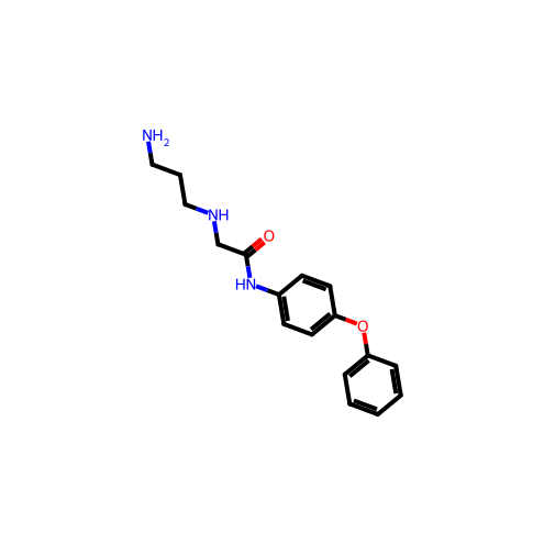 NCCCNCC(=O)Nc1ccc(Oc2ccccc2)cc1